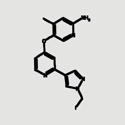 Cc1cc(N)ncc1Oc1ccnc(-c2cnn(CI)c2)c1